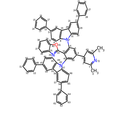 Cc1cc(-c2cc(-n3c4ccc(-c5ccccc5)cc4c4cc(-c5ccccc5)ccc43)c(-c3nc4ccccc4o3)c(-n3c4ccc(-c5ccccc5)cc4c4cc(-c5ccccc5)ccc43)c2)cc(C)n1